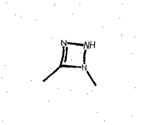 Cc1n[nH]n1C